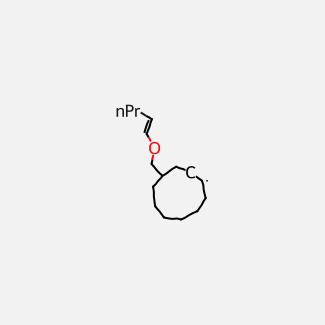 CCC/C=C/OCC1CC[CH]CCCCCC1